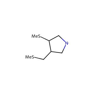 CSCC1C[N]CC1SC